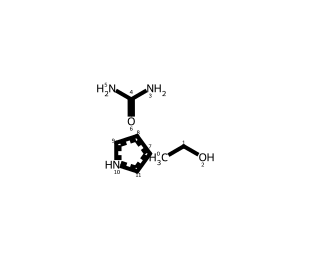 CCO.NC(N)=O.c1cc[nH]c1